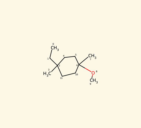 CCC1(C)CCC(C)(OC)CC1